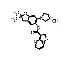 C[C@H]1CCN(c2cc3c(cc2NC(=O)c2cnn4cccnc24)CC(C)(C)O3)C1